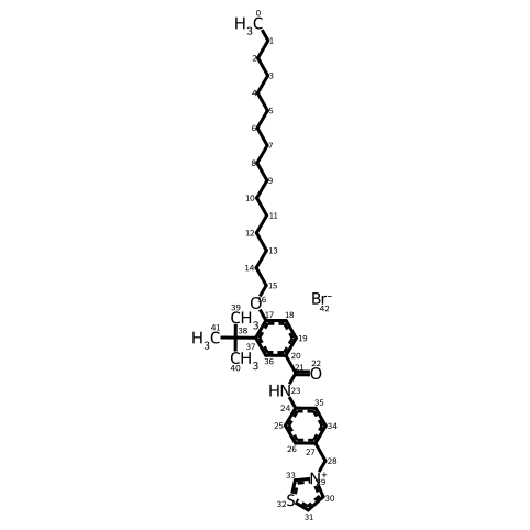 CCCCCCCCCCCCCCCCOc1ccc(C(=O)Nc2ccc(C[n+]3ccsc3)cc2)cc1C(C)(C)C.[Br-]